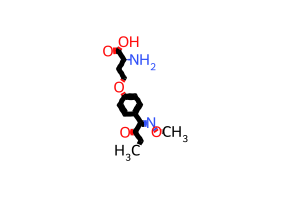 CCC(=O)/C(=N\OC)c1ccc(OCC[C@@H](N)C(=O)O)cc1